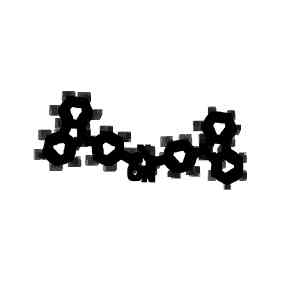 c1ccc2c(c1)c1ccccc1n2-c1ccc(-c2noc(-c3ccc(-n4c5ccccc5c5ccccc54)cc3)n2)cc1